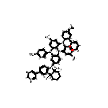 CC(C)(C)c1ccc(N2c3cc(N4c5ccc(-c6cccnc6)cc5C5(C)CCCCC45C)ccc3B3c4cc(C(C)(C)C)ccc4N(c4ccc(C(C)(C)C)cc4-c4ccccc4)c4cc(C(C)(C)C)cc2c43)cc1